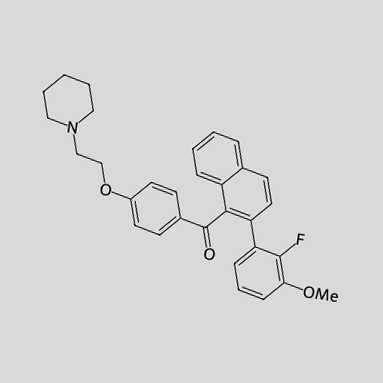 COc1cccc(-c2ccc3ccccc3c2C(=O)c2ccc(OCCN3CCCCC3)cc2)c1F